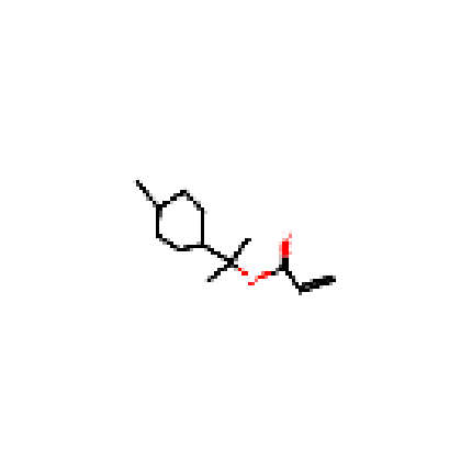 C=CC(=O)OC(C)(C)C1CCC(C)CC1